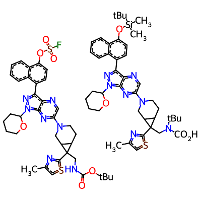 Cc1csc(C2(CN(C(=O)O)C(C)(C)C)C3CCN(c4cnc5c(-c6ccc(O[Si](C)(C)C(C)(C)C)c7ccccc67)nn(C6CCCCO6)c5n4)CC32)n1.Cc1csc(C2(CNC(=O)OC(C)(C)C)C3CCN(c4cnc5c(-c6ccc(OS(=O)(=O)F)c7ccccc67)nn(C6CCCCO6)c5n4)CC32)n1